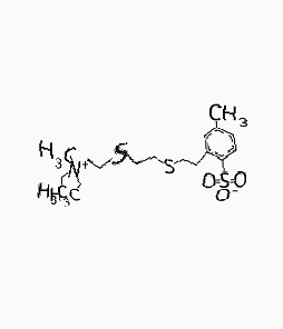 CC[N+](C)(CC)CCSCCSCCc1cc(C)ccc1S(=O)(=O)[O-]